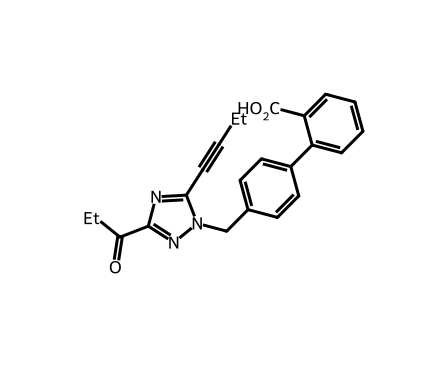 CCC#Cc1nc(C(=O)CC)nn1Cc1ccc(-c2ccccc2C(=O)O)cc1